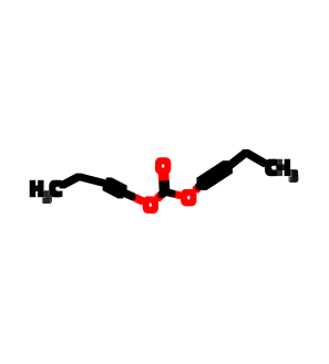 CCC#COC(=O)OC#CCC